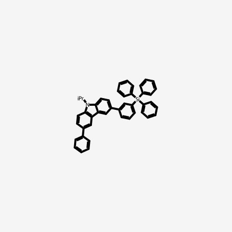 CC(C)n1c2ccc(-c3ccccc3)cc2c2cc(-c3cccc([Si](c4ccccc4)(c4ccccc4)c4ccccc4)c3)ccc21